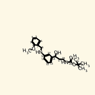 COc1ccccc1CNc1cccc(C(O)CCNC(=O)OC(C)(C)C)c1